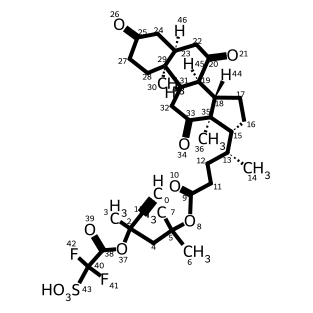 C#CC(C)(CC(C)(C)OC(=O)CC[C@@H](C)[C@H]1CC[C@H]2[C@@H]3C(=O)C[C@@H]4CC(=O)CC[C@]4(C)[C@H]3CC(=O)[C@]12C)OC(=O)C(F)(F)S(=O)(=O)O